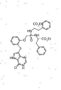 CCOC(=O)[C@H](Cc1ccccc1)NP(=O)(COc1ccccc1Sc1c[nH]c2c(=O)[nH]cnc12)N[C@@H](Cc1ccccc1)C(=O)OCC